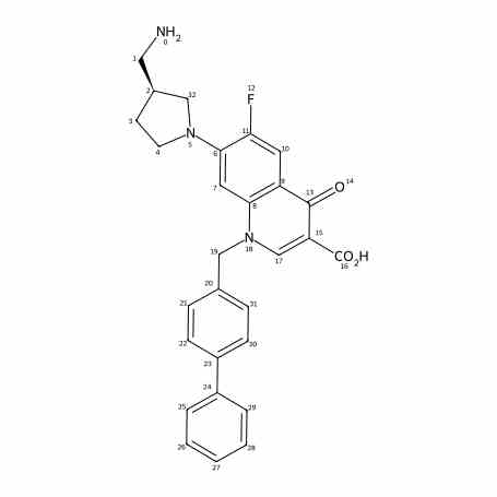 NC[C@@H]1CCN(c2cc3c(cc2F)c(=O)c(C(=O)O)cn3Cc2ccc(-c3ccccc3)cc2)C1